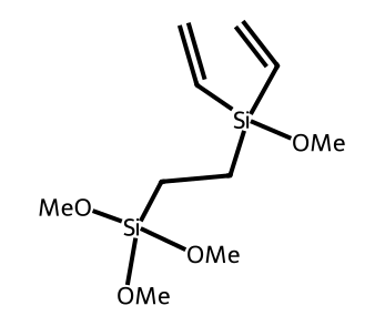 C=C[Si](C=C)(CC[Si](OC)(OC)OC)OC